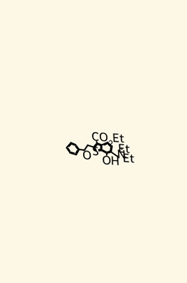 CCOC(=O)c1c(CC(=O)c2ccccc2)sc2c(O)c(CN(CC)CC)ccc12